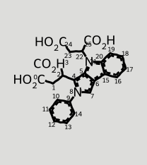 O=C(O)CC(C(=O)O)c1c2c(cn1-c1ccccc1)c1ccccc1n2C(CC(=O)O)C(=O)O